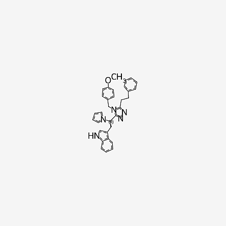 COc1ccc(Cn2c(CCc3ccccc3)nnc2[C@@H](Cc2c[nH]c3ccccc23)n2cccc2)cc1